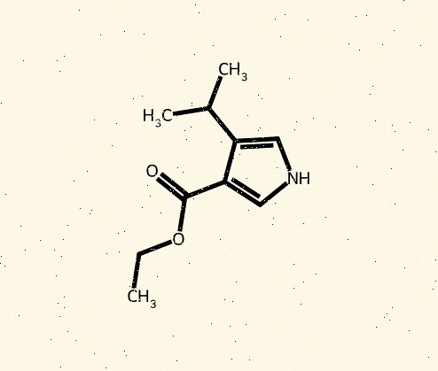 CCOC(=O)c1c[nH]cc1C(C)C